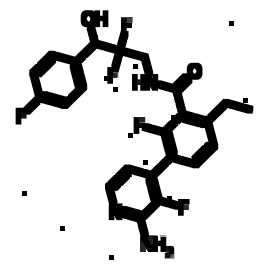 CCc1ccc(-c2ccnc(N)c2F)c(F)c1C(=O)NCC(F)(F)C(O)c1ccc(F)cc1